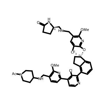 COc1nc(-c2ccnc(-c3cccc4c3CC[C@@H]4Oc3nc(OC)c(CNC[C@H]4CCC(=O)N4)cc3C(F)(F)F)c2Cl)ccc1CNC1CCN(C(C)=O)CC1